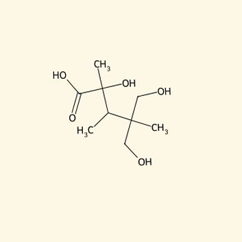 CC(C(C)(CO)CO)C(C)(O)C(=O)O